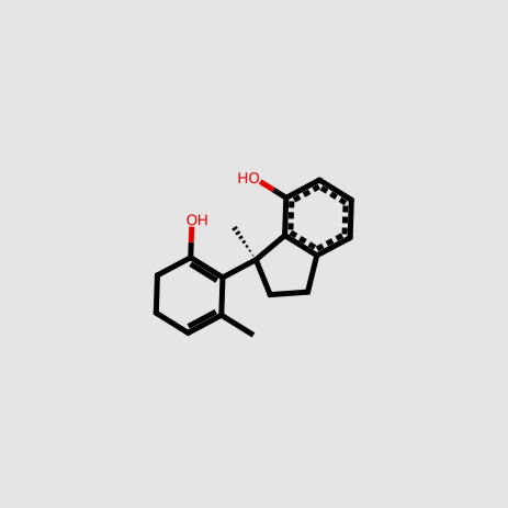 CC1=CCCC(O)=C1[C@]1(C)CCc2cccc(O)c21